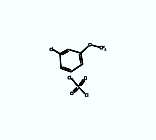 FC(F)(F)Oc1cccc(Cl)c1.O=S(=O)(Cl)Cl